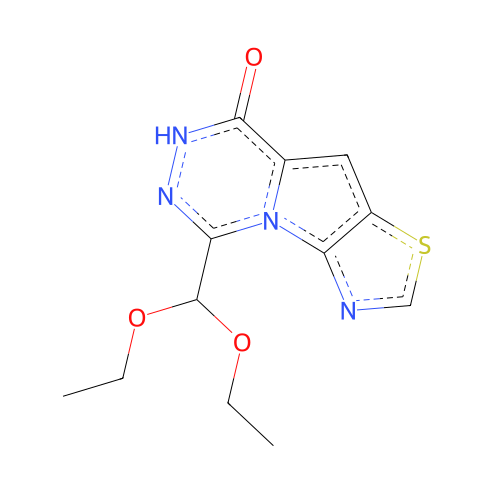 CCOC(OCC)c1n[nH]c(=O)c2cc3scnc3n12